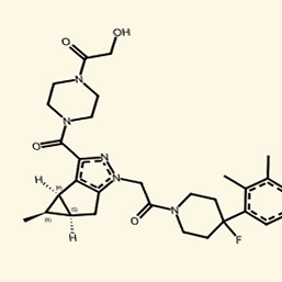 Cc1cccc(C2(F)CCN(C(=O)Cn3nc(C(=O)N4CCN(C(=O)CO)CC4)c4c3C[C@H]3[C@@H](C)[C@@H]43)CC2)c1C